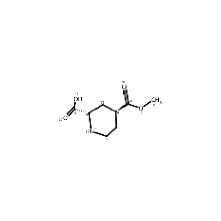 COC(=O)[C@H]1CCN[C@H](C(=O)O)C1